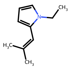 CCn1cccc1C=C(C)C